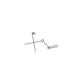 [CH]=NOC(C)(C)C(C)C